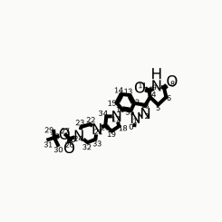 Cn1nc(C2CCC(=O)NC2=O)c2cccc(N3CCC(N4CCN(C(=O)OC(C)(C)C)CC4)C3)c21